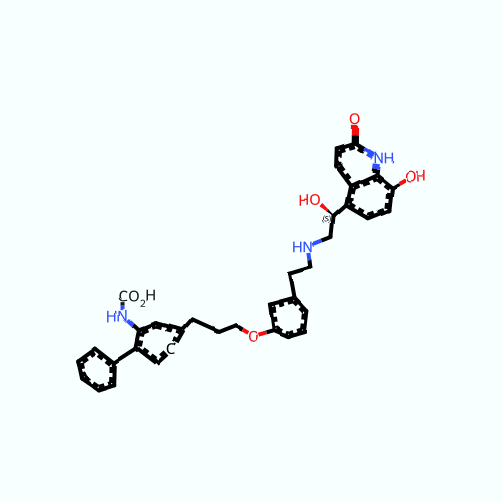 O=C(O)Nc1cc(CCCOc2cccc(CCNC[C@@H](O)c3ccc(O)c4[nH]c(=O)ccc34)c2)ccc1-c1ccccc1